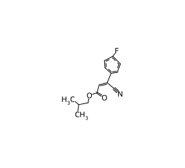 CC(C)COC(=O)C=C(C#N)c1ccc(F)cc1